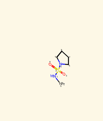 CCCNS(=O)(=O)N1CCCC1